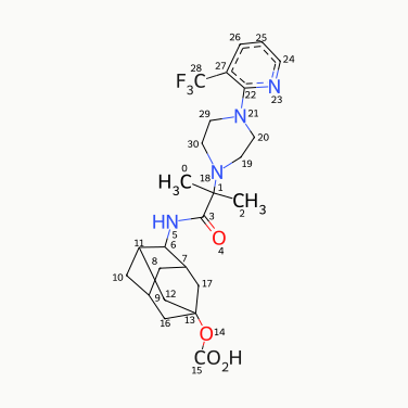 CC(C)(C(=O)NC1C2CC3CC1CC(OC(=O)O)(C3)C2)N1CCN(c2ncccc2C(F)(F)F)CC1